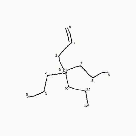 C=CC[Si](CCC)(CCC)CCC